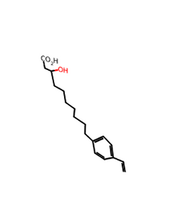 C=Cc1ccc(CCCCCCCC(O)CC(=O)O)cc1